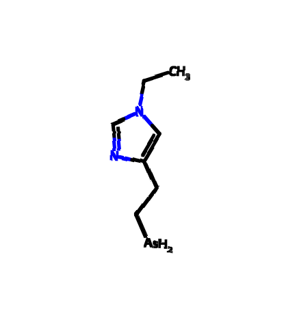 CCn1cnc(CC[AsH2])c1